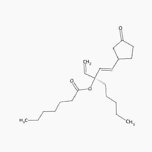 C=C[C@](C=CC1CCC(=O)C1)(CCCCC)OC(=O)CCCCCC